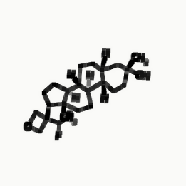 C[C@@]1(O)CC[C@H]2[C@H](CC[C@@H]3[C@@H]2CC[C@]2(C)[C@@H](C4(C(F)F)COC4)CC[C@@H]32)C1